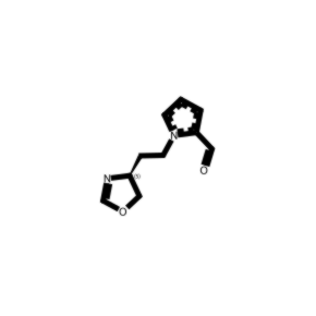 O=Cc1cccn1CC[C@H]1COC=N1